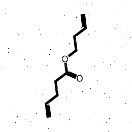 C=CCCOC(=O)CCC=C